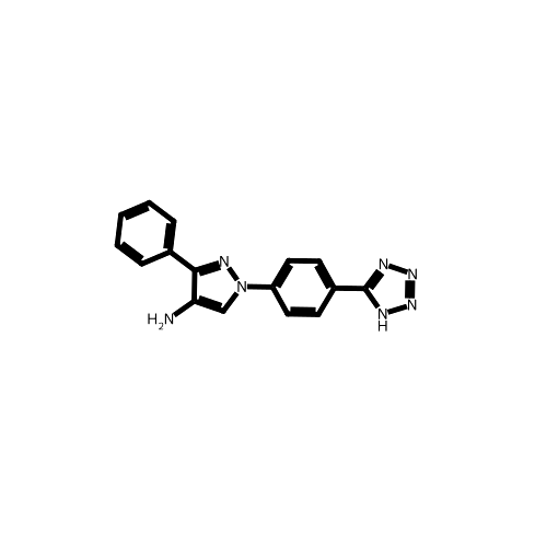 Nc1cn(-c2ccc(-c3nnn[nH]3)cc2)nc1-c1ccccc1